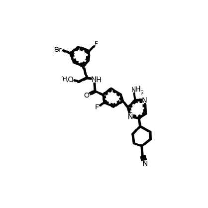 N#CC1CCC(c2cnc(N)c(-c3ccc(C(=O)NC(CO)c4cc(F)cc(Br)c4)c(F)c3)n2)CC1